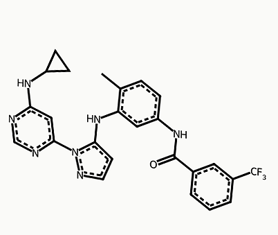 Cc1ccc(NC(=O)c2cccc(C(F)(F)F)c2)cc1Nc1ccnn1-c1cc(NC2CC2)ncn1